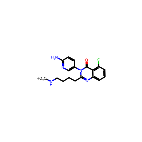 Nc1ccc(-n2c(CCCCNC(=O)O)nc3cccc(Cl)c3c2=O)cn1